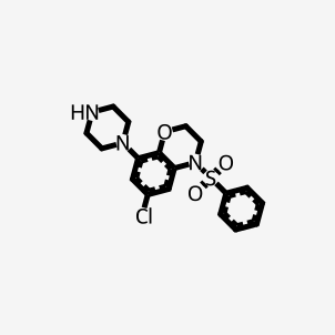 O=S(=O)(c1ccccc1)N1CCOc2c(N3CCNCC3)cc(Cl)cc21